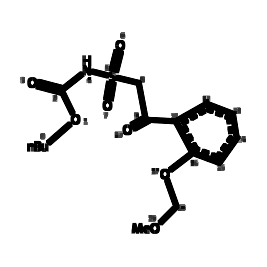 CCCCOC(=O)NS(=O)(=O)CC(=O)c1ccccc1OCOC